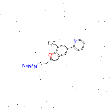 [N-]=[N+]=NCCc1cc2cc(-c3cc[c]cn3)cc(C(F)(F)F)c2o1